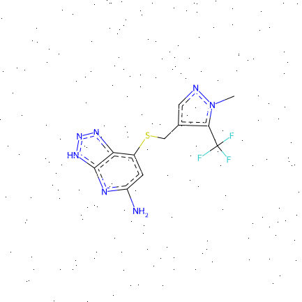 Cn1ncc(CSc2cc(N)nc3[nH]nnc23)c1C(F)(F)F